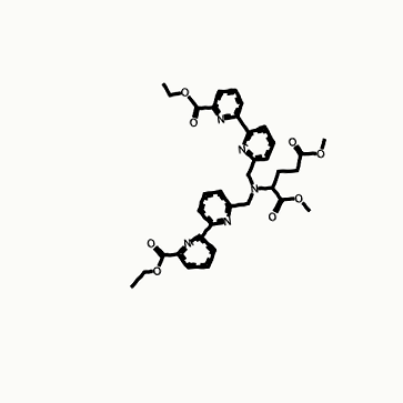 CCOC(=O)c1cccc(-c2cccc(CN(Cc3cccc(-c4cccc(C(=O)OCC)n4)n3)C(CCC(=O)OC)C(=O)OC)n2)n1